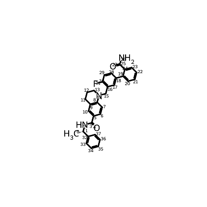 C[C@H](NC(=O)c1ccc2c(c1)CCCN2Cc1cc(-c2ccccc2C(N)=O)ccc1F)c1ccccc1